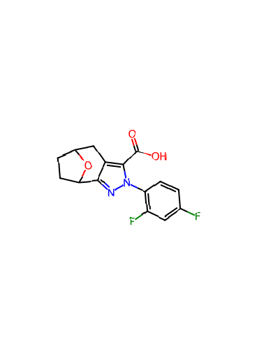 O=C(O)c1c2c(nn1-c1ccc(F)cc1F)C1CCC(C2)O1